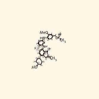 COc1cc(CO[PH](C)=O)ccc1Nc1ncc(C(F)(F)F)c(Nc2ccc([C@H]3CC[C@H](O)CC3)c3c2C(=O)N(C)C3)n1